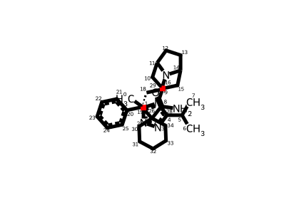 Cc1nnc(C(C)C)n1C1CC2CCC(C1)N2CC[C@@H](c1ccccc1)C1(C(N)=O)CCCCC1